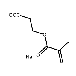 C=C(C)C(=O)OCCC(=O)[O-].[Na+]